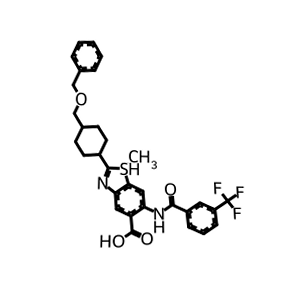 C[SH]1C(C2CCC(COCc3ccccc3)CC2)=Nc2cc(C(=O)O)c(NC(=O)c3cccc(C(F)(F)F)c3)cc21